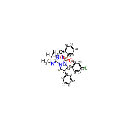 CN=C(NC)N1CC(c2ccccc2)C(c2ccc(Cl)cc2)N1S(=O)(=O)c1ccccc1C